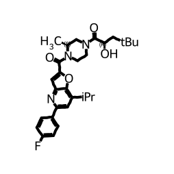 CC(C)c1cc(-c2ccc(F)cc2)nc2cc(C(=O)N3CCN(C(=O)[C@H](O)CC(C)(C)C)C[C@@H]3C)oc12